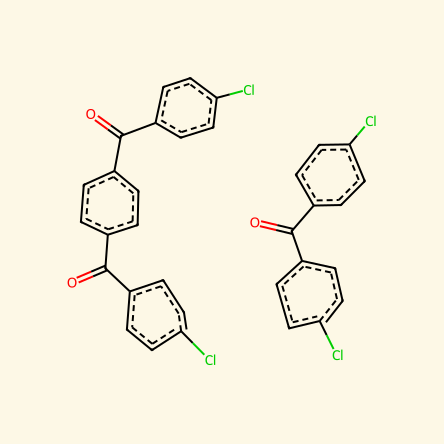 O=C(c1ccc(Cl)cc1)c1ccc(C(=O)c2ccc(Cl)cc2)cc1.O=C(c1ccc(Cl)cc1)c1ccc(Cl)cc1